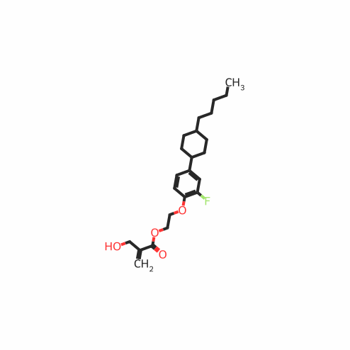 C=C(CO)C(=O)OCCOc1ccc(C2CCC(CCCCC)CC2)cc1F